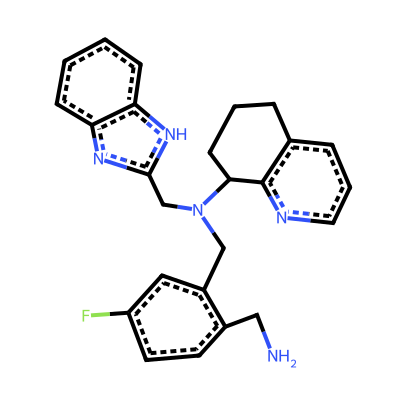 NCc1ccc(F)cc1CN(Cc1nc2ccccc2[nH]1)C1CCCc2cccnc21